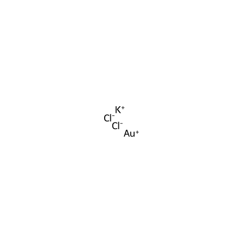 [Au+].[Cl-].[Cl-].[K+]